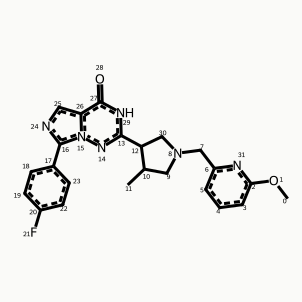 COc1cccc(CN2CC(C)C(c3nn4c(-c5ccc(F)cc5)ncc4c(=O)[nH]3)C2)n1